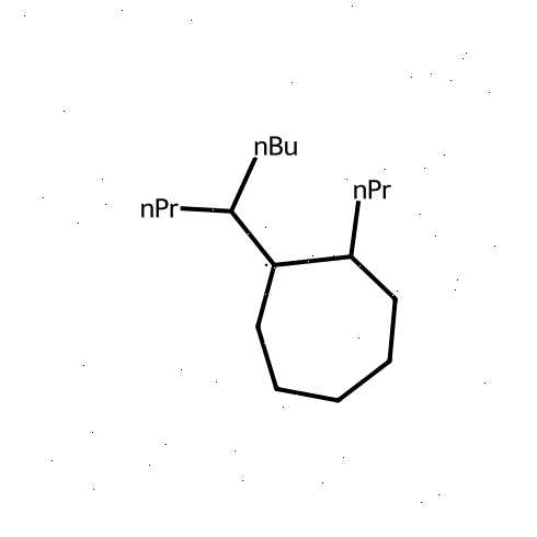 [CH2]CCCC(CCC)[C]1CCCCCC1CCC